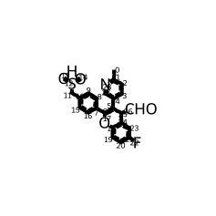 Cc1ccc(C2=C(c3ccc(C[SH](=O)=O)cc3)Oc3ccc(F)cc3C2C=O)cn1